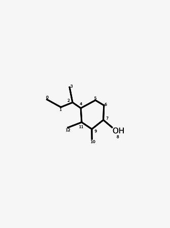 CCC(C)C1CCC(O)C(C)C1C